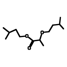 CC(C)CCOC(=O)C(C)OCCC(C)C